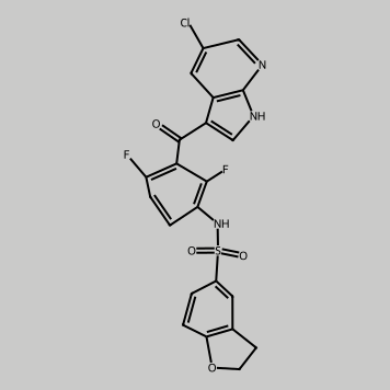 O=C(c1c(F)ccc(NS(=O)(=O)c2ccc3c(c2)CCO3)c1F)c1c[nH]c2ncc(Cl)cc12